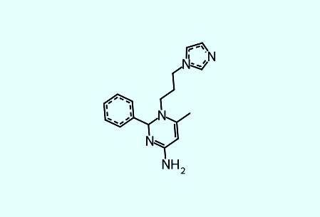 CC1=CC(N)=NC(c2ccccc2)N1CCCn1ccnc1